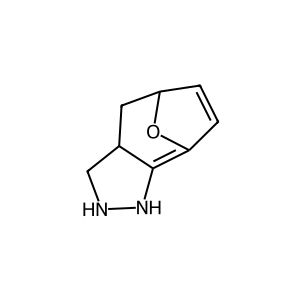 C1=CC2CC3CNNC3=C1O2